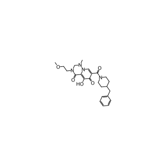 COCCN1CN(C)n2cc(C(=O)N3CCC(Cc4ccccc4)CC3)c(=O)c(O)c2C1=O